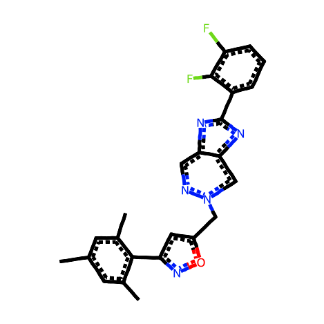 Cc1cc(C)c(-c2cc(Cn3cc4nc(-c5cccc(F)c5F)nc-4cn3)on2)c(C)c1